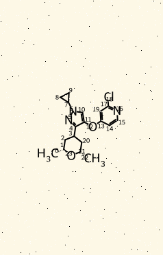 C[C@@H]1CC(c2nn(C3CC3)cc2Oc2ccnc(Cl)c2)C[C@H](C)O1